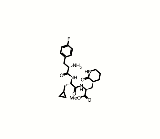 COC(=O)[C@H](C[C@@H]1CCCNC1=O)NC(=O)[C@H](CC1CC1)NC(=O)[C@@H](N)Cc1ccc(F)cc1